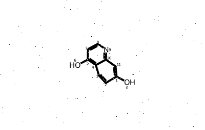 Oc1ccc2c(O)ccnc2c1